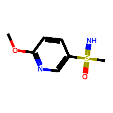 COc1ccc(S(C)(=N)=O)cn1